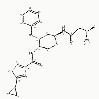 C[C@@H](N)CC(=O)N[C@H]1CC[C@H](NC(=O)c2cc(C3CC3)on2)[C@H](Cc2ccccc2)C1